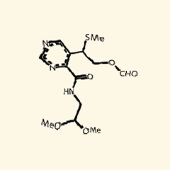 COC(CNC(=O)c1ncncc1C(COC=O)SC)OC